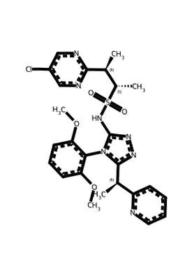 COc1cccc(OC)c1-n1c(NS(=O)(=O)[C@@H](C)[C@H](C)c2ncc(Cl)cn2)nnc1[C@H](C)c1ccccn1